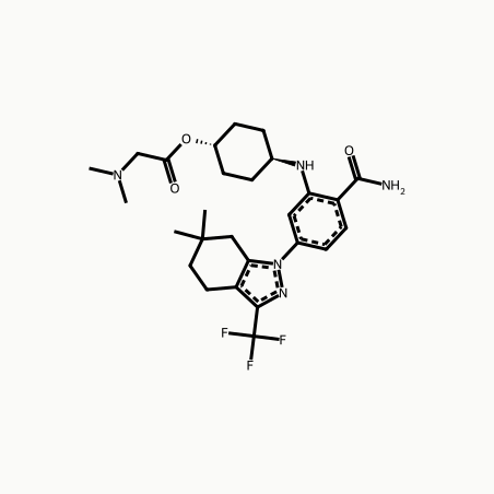 CN(C)CC(=O)O[C@H]1CC[C@H](Nc2cc(-n3nc(C(F)(F)F)c4c3CC(C)(C)CC4)ccc2C(N)=O)CC1